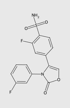 NS(=O)(=O)c1ccc(-c2coc(=O)n2-c2cccc(F)c2)cc1F